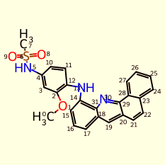 COc1cc(NS(C)(=O)=O)ccc1Nc1cccc2cc3ccc4ccccc4c3nc12